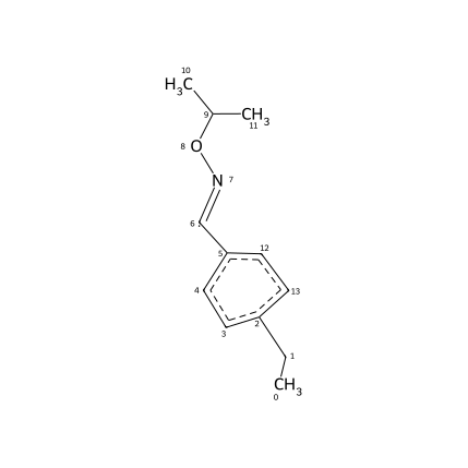 CCc1ccc(/[C]=N/OC(C)C)cc1